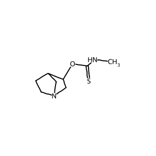 CNC(=S)OC1CN2CCC1C2